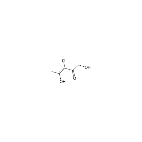 C/C(O)=C(\Cl)C(=O)CO